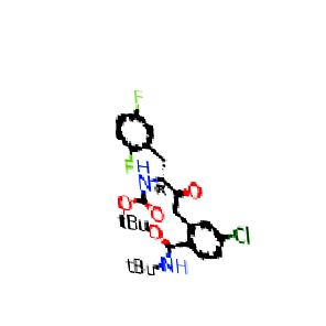 CC(C)(C)NC(=O)c1ccc(Cl)cc1CC(=O)[C@@H](Cc1cc(F)ccc1F)NC(=O)OC(C)(C)C